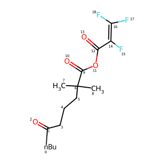 CCCCC(=O)CCCC(C)(C)C(=O)OC(=O)C(F)=C(F)F